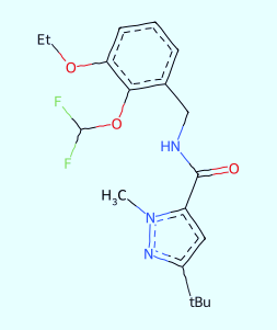 CCOc1cccc(CNC(=O)c2cc(C(C)(C)C)nn2C)c1OC(F)F